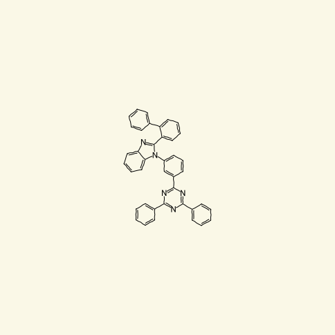 c1ccc(-c2nc(-c3ccccc3)nc(-c3cccc(-n4c(-c5ccccc5-c5ccccc5)nc5ccccc54)c3)n2)cc1